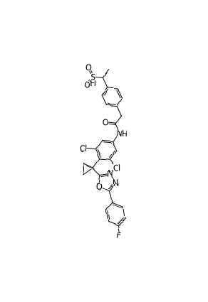 CC(c1ccc(CC(=O)Nc2cc(Cl)c(C3(c4nnc(-c5ccc(F)cc5)o4)CC3)c(Cl)c2)cc1)[SH](=O)=O